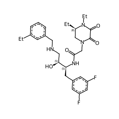 CCc1cccc(CNC[C@H](O)[C@H](Cc2cc(F)cc(F)c2)NC(=O)CN2C[C@@H](CC)N(CC)C(=O)C2=O)c1